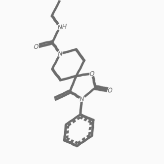 C=C1N(c2ccccc2)C(=O)OC12CCN(C(=O)NCC)CC2